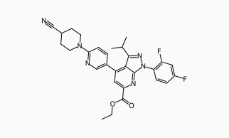 CCOC(=O)c1cc(-c2ccc(N3CCC(C#N)CC3)nc2)c2c(C(C)C)nn(-c3ccc(F)cc3F)c2n1